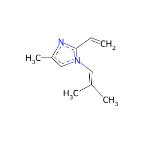 C=Cc1nc(C)cn1C=C(C)C